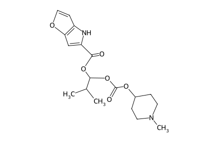 CC(C)C(OC(=O)OC1CCN(C)CC1)OC(=O)c1cc2occc2[nH]1